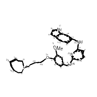 COc1cc(Nc2nccc(Nc3ccc4cc[nH]c4c3)n2)ccc1OCCCN1CCCCC1